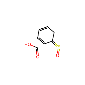 O=CO.O=S=C1C=CC=CC1